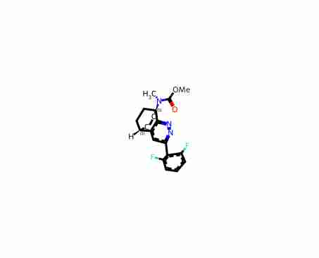 COC(=O)N(C)[C@@]12CCC[C@@H](CC1)c1cc(-c3c(F)cccc3F)nnc12